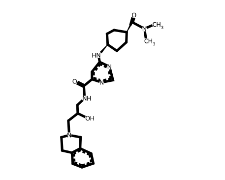 CN(C)C(=O)[C@H]1CC[C@@H](Nc2cc(C(=O)NCC(O)CN3CCc4ccccc4C3)ncn2)CC1